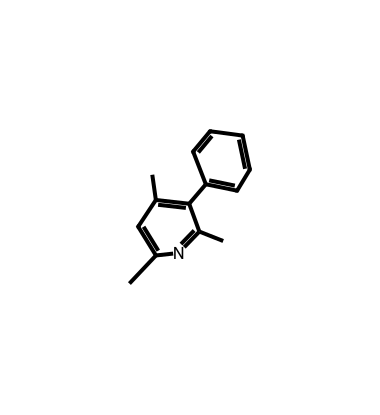 Cc1cc(C)c(-c2ccccc2)c(C)n1